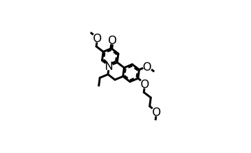 CCC1Cc2cc(OCCCOC)c(OC)cc2-c2cc(=O)c(COC)cn21